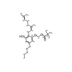 CCCCCc1cc(O)c(CC=C(C)CCC=C(C)C)c(OCOC(=O)C(C)(C)C)c1